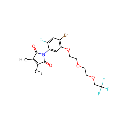 CC1=C(C)C(=O)N(c2cc(OCCOCCOCC(F)(F)F)c(Br)cc2F)C1=O